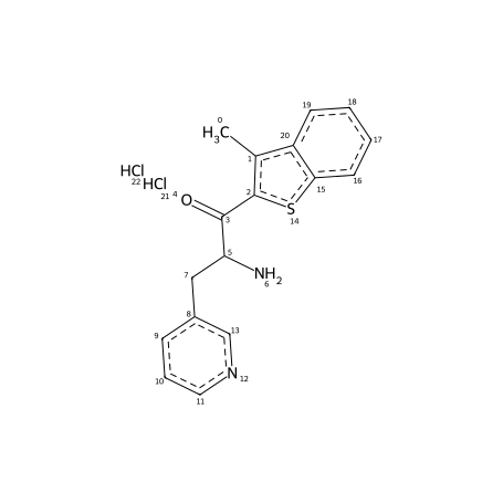 Cc1c(C(=O)C(N)Cc2cccnc2)sc2ccccc12.Cl.Cl